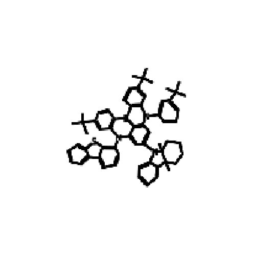 CC(C)(C)c1cccc(N2c3cc(C(C)(C)C)ccc3B3c4ccc(C(C)(C)C)cc4N(c4cccc5c4sc4ccccc45)c4cc(N5c6ccccc6C6(C)CCCCC56C)cc2c43)c1